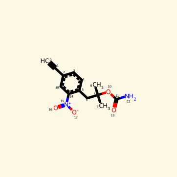 C#Cc1ccc(CC(C)(C)OC(N)=O)c([N+](=O)[O-])c1